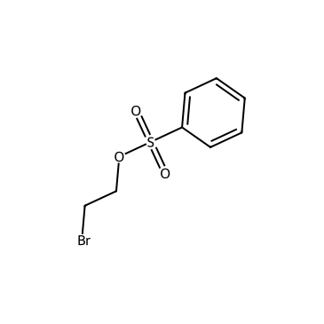 O=S(=O)(OCCBr)c1ccccc1